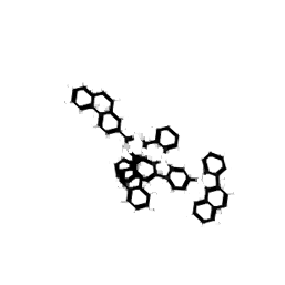 c1ccc(-n2c3cc(-n4c5ccccc5c5ccc6ccccc6c54)ccc3c3cc4ccccc4cc32)c(-c2nc(-c3ccc4ccccc4c3)nc(-c3ccc4c(ccc5ccccc54)c3)n2)c1